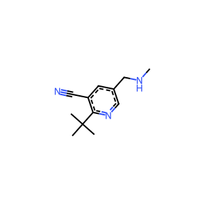 CNCc1cnc(C(C)(C)C)c(C#N)c1